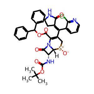 CC(C)(C)OC(=O)N[C@@H]1C(=O)N2C(C(=O)OC(c3ccccc3)c3ccccc3)=C(C(=C3CCNC3=O)c3cccnc3Cl)C[S@+]([O-])[C@H]12